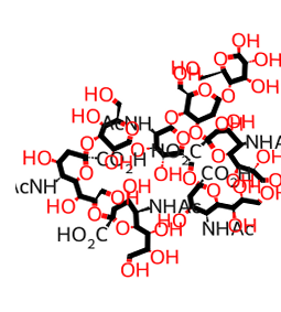 CC(=O)N[C@H]1[C@H](O[C@@H]2[C@H](O[C@]3(C(=O)O)C[C@H](O)[C@@H](NC(C)=O)[C@H]([C@H](O)[C@H](O)CO)O3)[C@@H](O)[C@H](O[C@H]3[C@H](O)[C@@H](O)[C@H](O)O[C@@H]3CO)O[C@@H]2CO)O[C@H](CO[C@]2(C(=O)O)C[C@H](O)[C@@H](NC(C)=O)[C@H]([C@H](O)[C@H](O)CO)O2)[C@H](O)[C@@H]1O[C@@H]1O[C@H](CO)[C@H](O)[C@H](O[C@]2(C(=O)O)C[C@H](O)[C@@H](NC(C)=O)[C@H]([C@H](O)[C@@H](CO)O[C@]3(C(=O)O)C[C@H](O)[C@@H](NC(C)=O)[C@H]([C@H](O)[C@H](O)CO)O3)O2)[C@H]1O